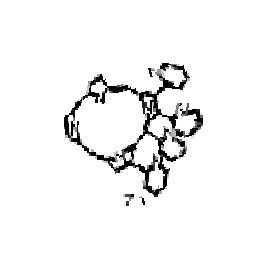 C1=CC2=NC1=CC1=NC(=C(c3ccccn3)C3=NC(=CC4=NC(=C2)C=C4)C=C3c2ccccn2)C(c2ccccn2)=C1c1ccccn1.[Zn]